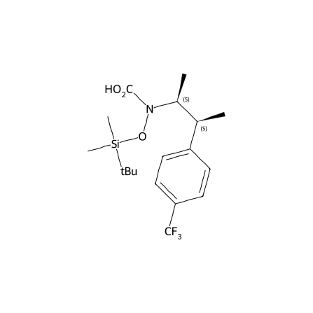 C[C@@H](c1ccc(C(F)(F)F)cc1)[C@H](C)N(O[Si](C)(C)C(C)(C)C)C(=O)O